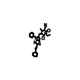 CCN1C(=O)C(C#N)=C(C)/C(=C/c2cc3sc(C#Cc4ccccc4)nc3n2-c2ccccc2)C1=O